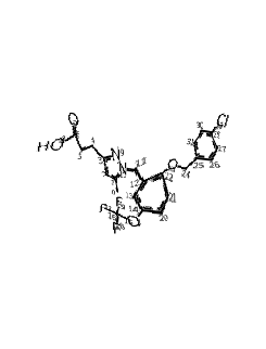 Cc1cc(CCC(=O)O)nn1Cc1cc(OC(F)(F)F)ccc1OCc1ccc(Cl)cc1